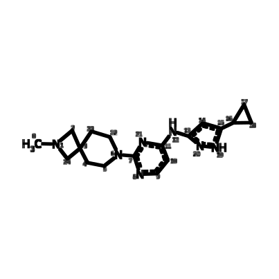 CN1CC2(CCN(c3nccc(Nc4cc(C5CC5)[nH]n4)n3)CC2)C1